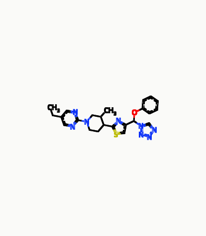 CCc1cnc(N2CCC(c3nc(C(Oc4ccccc4)n4cnnn4)cs3)C(C)C2)nc1